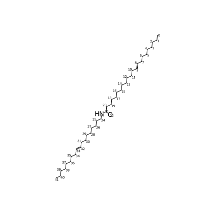 CCCCCCCCC=CCCCCCCCCCCCC(=O)NCCCCCCCCC=CCCCCCCCC